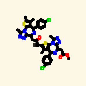 COC(=O)CC1N=C(c2ccc(Cl)cc2)c2c(sc(BC(=O)CC3N=C(c4ccc(Cl)cc4)c4c(sc(C)c4C)-n4c(C)nnc43)c2C)-n2c(C)nnc21